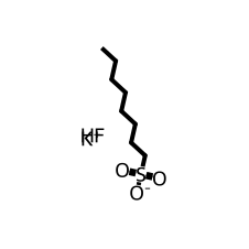 CCCCCCCCS(=O)(=O)[O-].F.[K+]